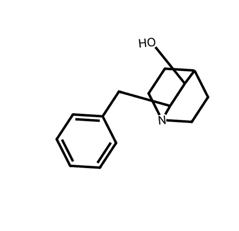 OC1C2CCN(CC2)C1Cc1ccccc1